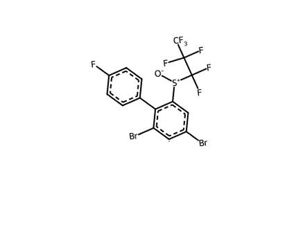 [O-][S+](c1cc(Br)[c]c(Br)c1-c1ccc(F)cc1)C(F)(F)C(F)(F)C(F)(F)F